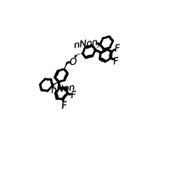 CCCCCCCCCC1([C@]2(c3ccc(F)c(F)c3)C=C[C@H](COC[C@H]3C=C[C@@](c4ccc(F)c(F)c4)(C4(CCCCCCCCC)CCCCC4)C=C3)C=C2)CCCCC1